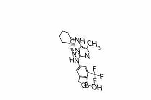 Cc1cnc(Nc2cc3c(c(C(F)(F)F)c2)B(O)OC3)nc1N[C@@H]1CCCC[C@H]1C#N